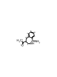 CC(=O)C1CNN(N)c2ccccc2C1